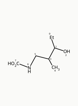 CCC(O)C(C)CNC(=O)O